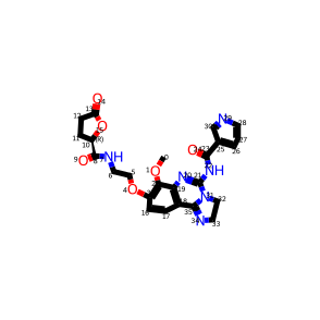 COc1c(OCCNC(=O)[C@H]2CCC(=O)O2)ccc2c1N=C(NC(=O)c1cccnc1)N1CCN=C21